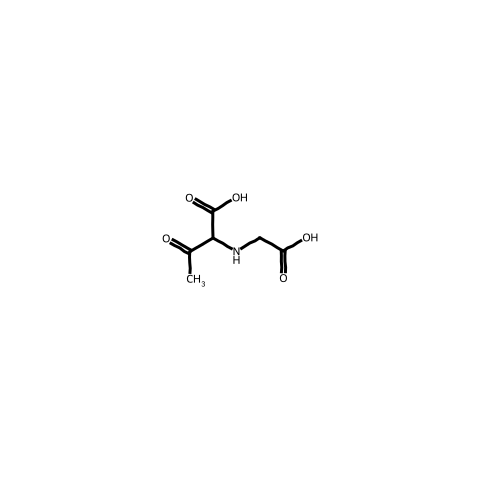 CC(=O)C(NCC(=O)O)C(=O)O